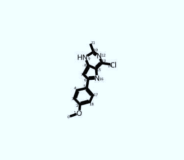 COc1ccc(-c2cc3[nH]c(C)nc(Cl)c-3n2)cc1